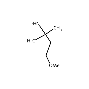 COCCC(C)(C)[NH]